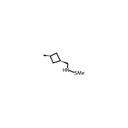 CSNC[C@H]1C[C@@H](C)C1